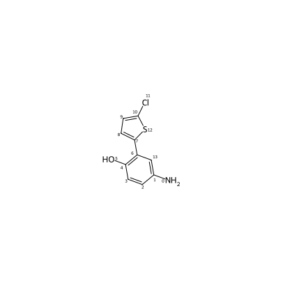 Nc1ccc(O)c(-c2ccc(Cl)s2)c1